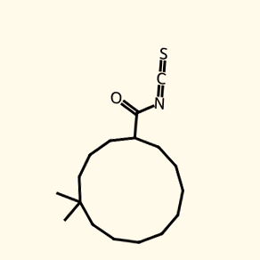 CC1(C)CCCCCCCCC(C(=O)N=C=S)CCC1